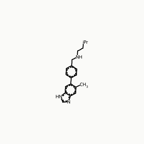 Cc1cc2nc[nH]c2cc1-c1ccc(CNCCC(C)C)cc1